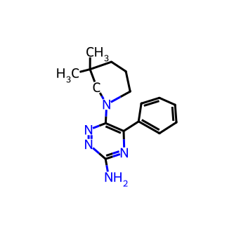 CC1(C)CCCN(c2nnc(N)nc2-c2ccccc2)C1